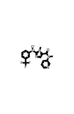 CN(C(=O)c1cnc([S+]([O-])c2cccc(C(F)(F)F)c2)n1C)c1cccnc1